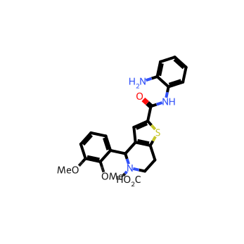 COc1cccc(C2c3cc(C(=O)Nc4ccccc4N)sc3CCN2C(=O)O)c1OC